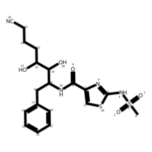 CS(=O)(=O)Nc1nc(C(=O)NC(Cc2ccccc2)C(O)C(O)CCCC#N)cs1